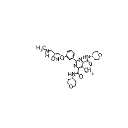 CNCC(O)COc1cccc(-c2nc(C(=O)NC3CCOCC3)c(C)c(C(=O)NC3CCOCC3)n2)c1